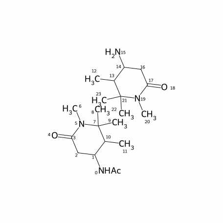 CC(=O)NC1CC(=O)N(C)C(C)(C)C1C.CC1C(N)CC(=O)N(C)C1(C)C